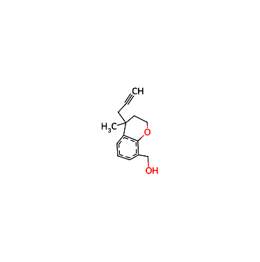 C#CCC1(C)CCOc2c(CO)cccc21